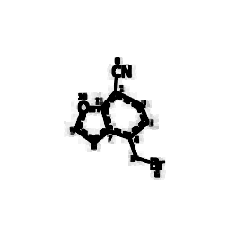 N#Cc1ccc(CBr)c2ccoc12